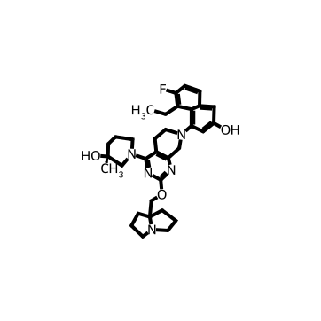 CCc1c(F)ccc2cc(O)cc(N3CCc4c(nc(OCC56CCCN5CCC6)nc4N4CCC[C@@](C)(O)C4)C3)c12